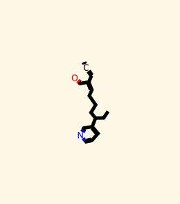 C=C=CC(C=O)=CCCCC(CC)c1cccnc1